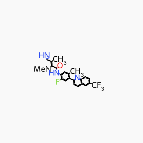 CN/C(C(=O)Nc1cc(C)c(-c2ccc3cc(C(F)(F)F)ccc3n2)cc1F)=C(/C)C=N